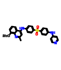 COc1cccc2c(Nc3ccc(S(=O)(=O)c4ccc(Nc5ccncc5)cc4)cc3)cc(C)nc12